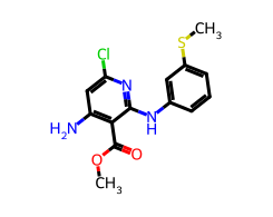 COC(=O)c1c(N)cc(Cl)nc1Nc1cccc(SC)c1